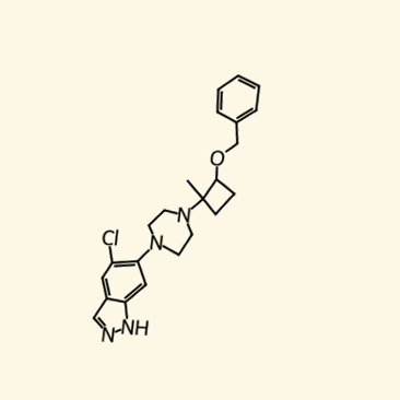 CC1(N2CCN(c3cc4[nH]ncc4cc3Cl)CC2)CCC1OCc1ccccc1